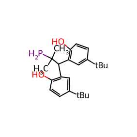 CC(C)(C)c1ccc(O)c(C(c2cc(C(C)(C)C)ccc2O)C(C)(C)P)c1